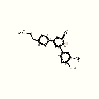 COCCc1ccc(-c2cc(-c3ccc(C)c(O)c3)[nH]c(=O)c2)cc1